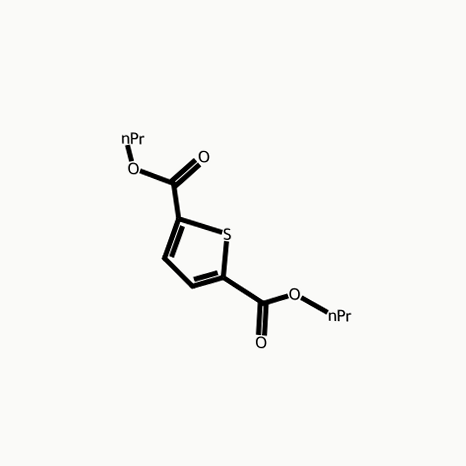 CCCOC(=O)c1ccc(C(=O)OCCC)s1